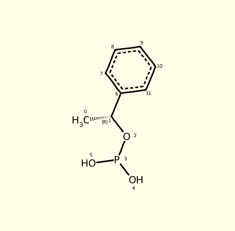 C[C@@H](OP(O)O)c1ccccc1